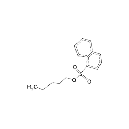 CCCCCOS(=O)(=O)c1cccc2ccccc12